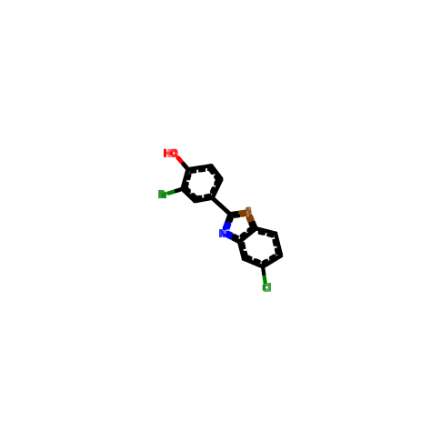 Oc1ccc(-c2nc3cc(Cl)ccc3s2)cc1Br